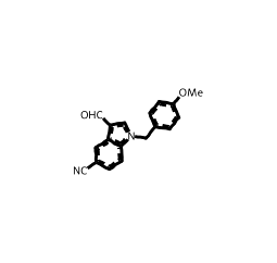 COc1ccc(Cn2cc(C=O)c3cc(C#N)ccc32)cc1